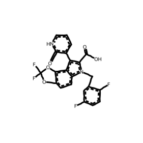 O=C(O)c1c(-c2ccc[nH]c2=O)c2c3c(ccc2n1Cc1cc(F)ccc1F)OC(F)(F)O3